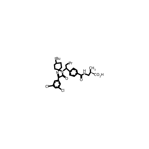 CC(C)CC(c1ccc(C(=O)NC[C@@H](C)C(=O)O)cc1)N1C(=O)C(c2cc(Cl)cc(Cl)c2)=NC12CCC(C(C)(C)C)CC2